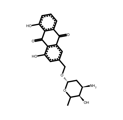 CC1O[C@H](OCc2cc(O)c3c(c2)C(=O)c2cccc(O)c2C3=O)C[C@@H](N)[C@H]1O